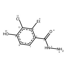 CCc1c(C(=O)NN)ccc(O)c1Cl